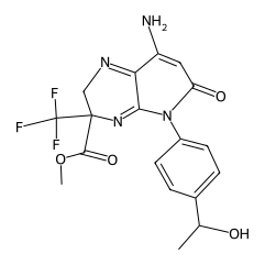 COC(=O)C1(C(F)(F)F)CN=c2c(N)cc(=O)n(-c3ccc(C(C)O)cc3)c2=N1